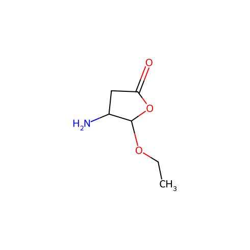 CCOC1OC(=O)CC1N